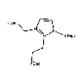 CCCCCCCCCCCCc1n(CCCCCCC)cc[n+]1CCCCCCCCCCC